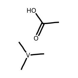 CC(=O)O.[CH3][V]([CH3])[CH3]